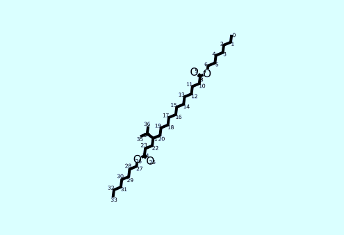 CCCCCCCOC(=O)CCCCCCCCCCCC(CCC(=O)OCCCCCCC)C(C)C